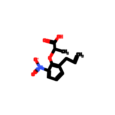 C=CCc1cccc([N+](=O)[O-])c1OC(C)C(=O)O